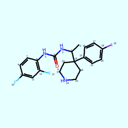 CC(NC(=O)Nc1ccc(F)cc1F)C1(c2ccc(I)cc2)CCNCC1